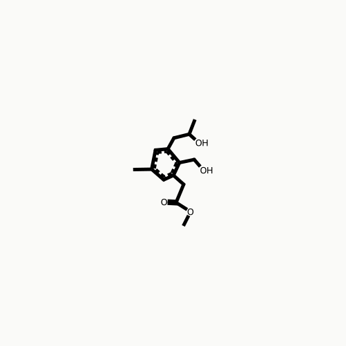 COC(=O)Cc1cc(C)cc(CC(C)O)c1CO